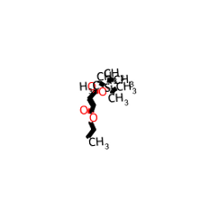 CCCCOC(=O)C=CC(=O)O[Si](C(C)C)(C(C)C)C(C)C